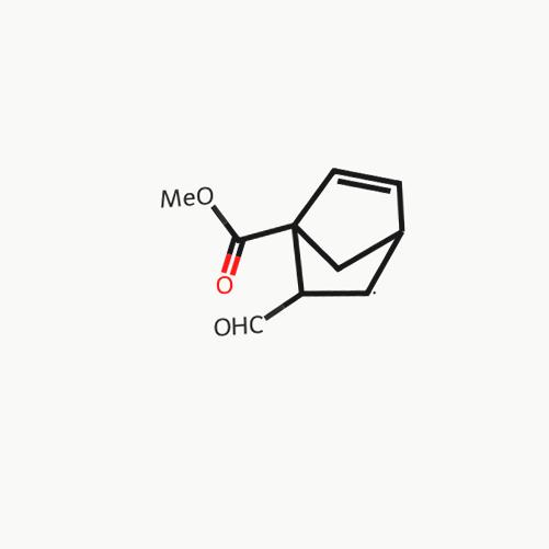 COC(=O)C12C=CC([CH]C1C=O)C2